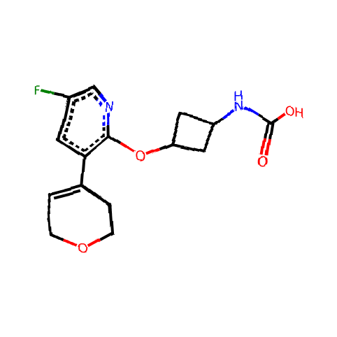 O=C(O)NC1CC(Oc2ncc(F)cc2C2=CCOCC2)C1